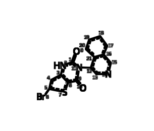 O=c1[nH]c2cc(Br)sc2c(=O)n1-c1cncc2ccccc12